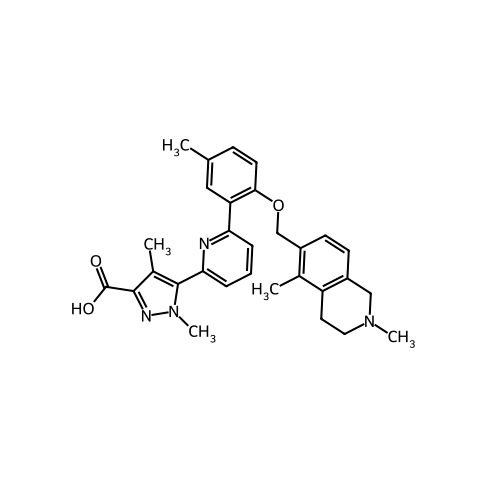 Cc1ccc(OCc2ccc3c(c2C)CCN(C)C3)c(-c2cccc(-c3c(C)c(C(=O)O)nn3C)n2)c1